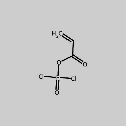 C=CC(=O)OP(=O)(Cl)Cl